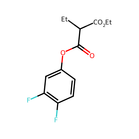 CCOC(=O)C(CC)C(=O)Oc1ccc(F)c(F)c1